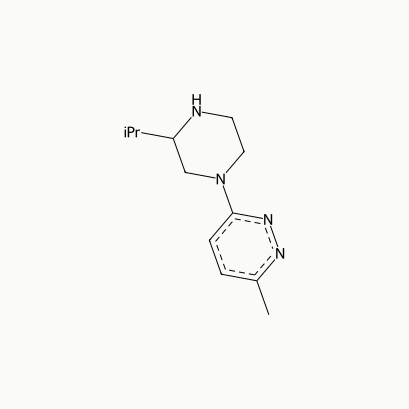 Cc1ccc(N2CCNC(C(C)C)C2)nn1